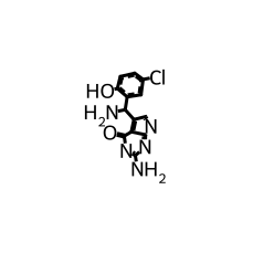 NC1=NC(=O)C2=C(C(N)c3cc(Cl)ccc3O)C=NC2=N1